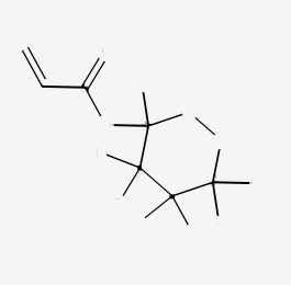 C=CC(=O)OC1(F)SSC(F)(F)C(F)(F)C1(F)F